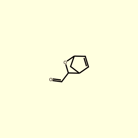 O=CC1OC2C=CC1C2